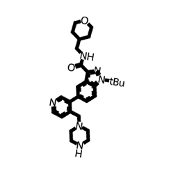 CC(C)(C)n1nc(C(=O)NCC2CCOCC2)c2cc(-c3cnccc3CN3CCNCC3)ccc21